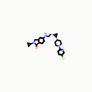 O=C1c2ccc(NCC[C@@H]3C[C@@H]3C3CCN(c4ccc(Cl)cn4)CC3)cc2CN1C1CC1